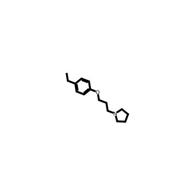 CCc1ccc(OCCCN2CCCC2)cc1